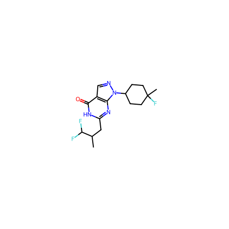 CC(Cc1nc2c(cnn2C2CCC(C)(F)CC2)c(=O)[nH]1)C(F)F